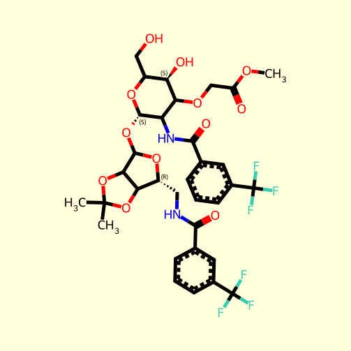 COC(=O)COC1C(NC(=O)c2cccc(C(F)(F)F)c2)[C@H](OC2O[C@H](CNC(=O)c3cccc(C(F)(F)F)c3)C3OC(C)(C)OC23)OC(CO)[C@H]1O